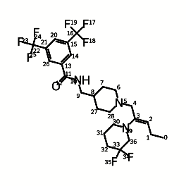 CC/C=C(/CN1CCC(CNC(=O)c2cc(C(F)(F)F)cc(C(F)(F)F)c2)CC1)N1CCCC(F)(F)C1